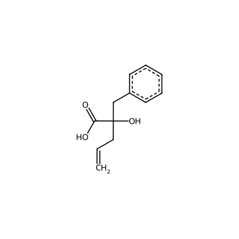 C=CCC(O)(Cc1ccccc1)C(=O)O